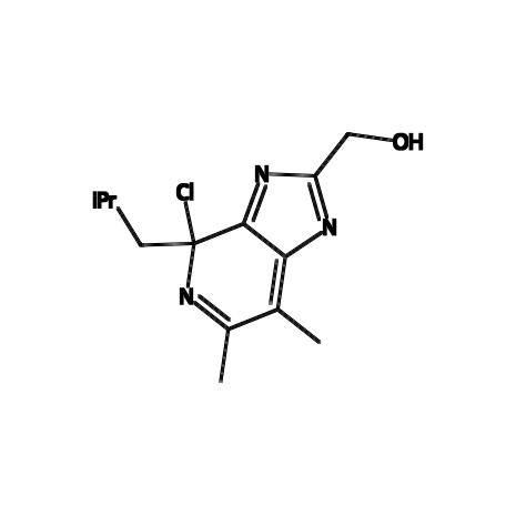 CC1=NC(Cl)(CC(C)C)C2=NC(CO)=NC2=C1C